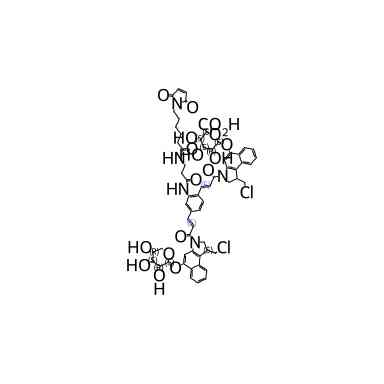 O=C(CCCCCN1C(=O)C=CC1=O)NCCC(=O)Nc1cc(/C=C/C(=O)N2C[C@@H](CCl)c3c2cc(O[C@@H]2OC[C@@H](O)[C@H](O)[C@H]2O)c2ccccc32)ccc1/C=C/C(=O)N1CC(CCl)c2c1cc(O[C@@H]1O[C@H](C(=O)O)[C@@H](O)[C@H](O)[C@H]1O)c1ccccc21